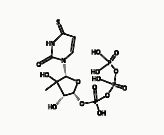 CC1(O)[C@@H](O)[C@@H](OP(=O)(O)OP(=O)(O)OP(=O)(O)O)O[C@H]1n1ccc(=S)[nH]c1=O